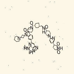 CC(C)n1cnc2cc(-c3ccc4c(c3)N([C@H]3C[C@@H](N5CCCCC5)C3)C(=O)C43CCN(C(=O)[C@H]4CC[C@H](CNC(=O)C5CCN(c6ccc(C7CCC(=O)NC7=O)cn6)CC5)CC4)CC3)nc(NC3CC3)c21